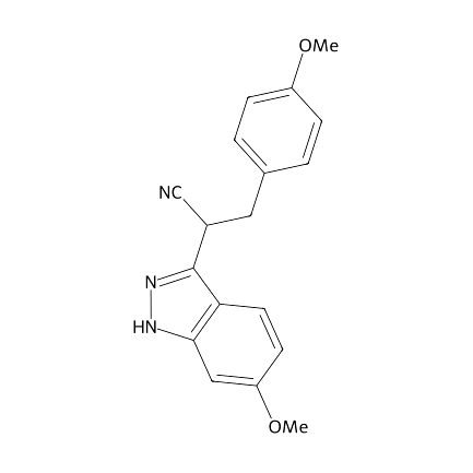 COc1ccc(CC(C#N)c2n[nH]c3cc(OC)ccc23)cc1